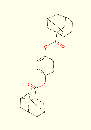 O=C(Oc1ccc(OC(=O)C23CC4CC(C2)C(F)C(C4)C3)cc1)C12CC3CC(C1)C(F)C(C3)C2